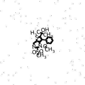 COc1ccccc1-c1c(C(C)(C)O)sc2cnc(S(C)(=O)=O)nc12